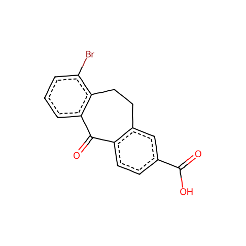 O=C(O)c1ccc2c(c1)CCc1c(Br)cccc1C2=O